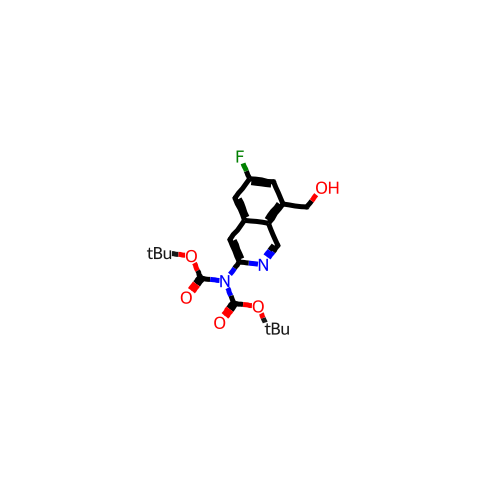 CC(C)(C)OC(=O)N(C(=O)OC(C)(C)C)c1cc2cc(F)cc(CO)c2cn1